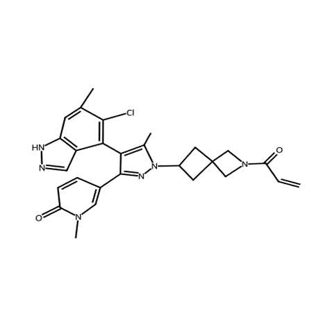 C=CC(=O)N1CC2(CC(n3nc(-c4ccc(=O)n(C)c4)c(-c4c(Cl)c(C)cc5[nH]ncc45)c3C)C2)C1